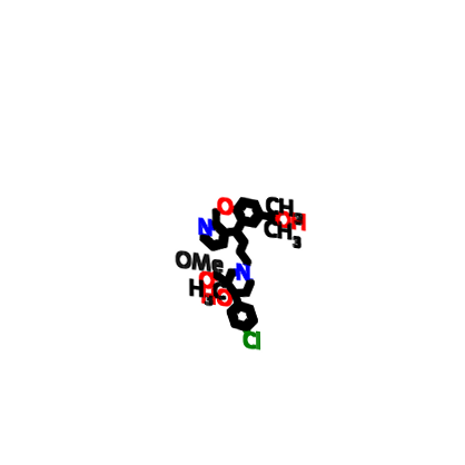 COC(=O)C1(C)CN(CCC=C2c3cc(C(C)(C)O)ccc3OCc3ncccc32)CCC1(O)c1ccc(Cl)cc1